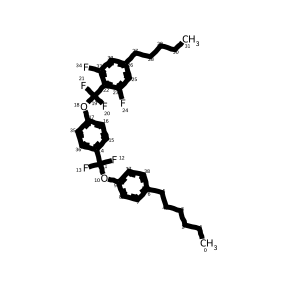 CCCCCCc1ccc(OC(F)(F)c2ccc(OC(F)(F)c3c(F)cc(CCCCC)cc3F)cc2)cc1